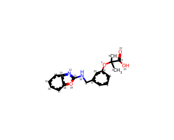 CC(C)(Oc1cccc(CNc2nc3ccccc3o2)c1)C(=O)O